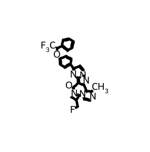 Cc1nccnc1-c1nn2ccc(-c3ccc(O[C@H](c4ccccc4)C(F)(F)F)cc3)nc2c1C(=O)N1CC(CF)C1